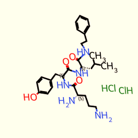 CC(C)C[C@H](NC(=O)[C@H](Cc1ccc(O)cc1)NC(=O)[C@@H](N)CCCN)C(=O)NCCc1ccccc1.Cl.Cl